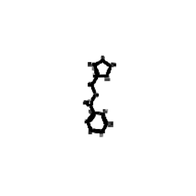 [c]1ccc(OCCC2=NCCC2)cc1